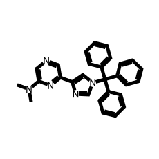 CN(C)c1cncc(-c2cn(C(c3ccccc3)(c3ccccc3)c3ccccc3)cn2)n1